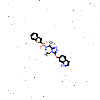 CCn1c(Oc2ccc3cc[nH]c3c2)nnc1[C@@H](C)NS(=O)(=O)c1cc2ccccc2s1